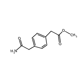 COC(=O)Cc1ccc(CC(N)=O)cc1